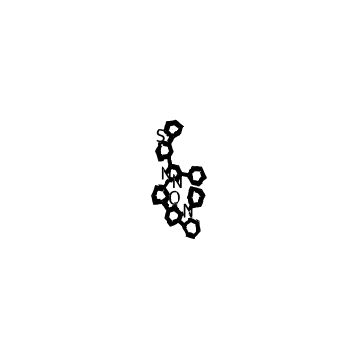 C1=CC2c3ccc4c(oc5c(-c6nc(-c7ccccc7)cc(-c7ccc8sc9ccccc9c8c7)n6)cccc54)c3N(c3ccccc3)C2C=C1